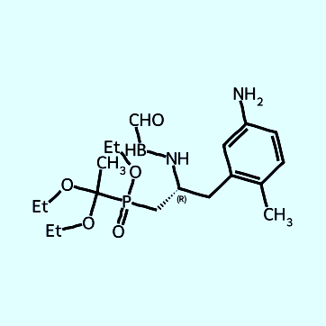 CCOC(C)(OCC)P(=O)(C[C@@H](Cc1cc(N)ccc1C)NBC=O)OCC